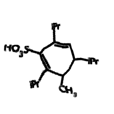 CC(C)C1=CC(C(C)C)C(C)C(C(C)C)=C1S(=O)(=O)O